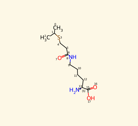 CC(C)SCCC(=O)NCCCC[C@H](N)C(=O)O